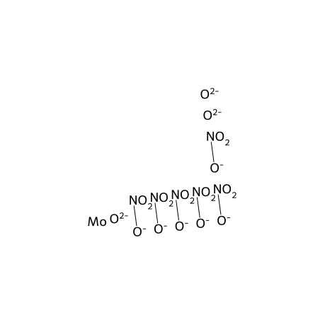 O=[N+]([O-])[O-].O=[N+]([O-])[O-].O=[N+]([O-])[O-].O=[N+]([O-])[O-].O=[N+]([O-])[O-].O=[N+]([O-])[O-].[Mo].[O-2].[O-2].[O-2]